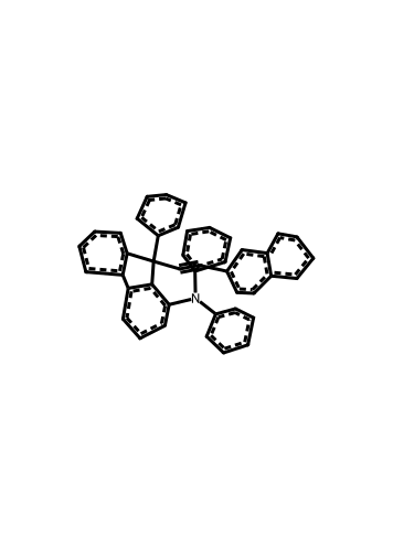 C(#CC1(c2ccccc2)c2ccccc2-c2cccc(N(c3ccccc3)c3ccccc3)c21)c1ccc2ccccc2c1